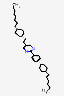 CCCCCCCC[C@H]1CC[C@H](CCc2cnc(-c3ccc([C@H]4CC[C@H](CCCCCC)CC4)cc3)nc2)CC1